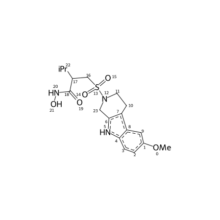 COc1ccc2[nH]c3c(c2c1)CCN(S(=O)(=O)CC(C(=O)NO)C(C)C)C3